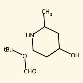 CC(C)(C)OC=O.CC1CC(O)CCN1